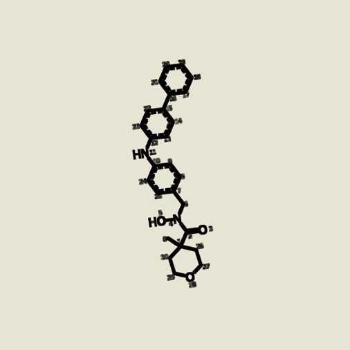 CC1(C(=O)N(O)Cc2ccc(Nc3ccc(-c4ccccc4)cc3)cc2)CCOCC1